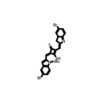 CCCCn1c(/C=C2/C(=S)C(/C=C3\CC4C=C(Br)C=CC4=N3)=C2S)cc2cc(Br)ccc21